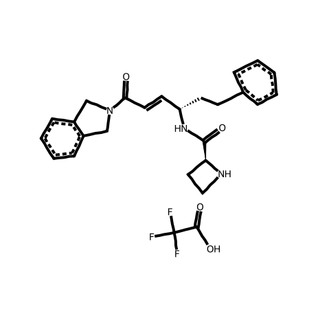 O=C(N[C@H](/C=C/C(=O)N1Cc2ccccc2C1)CCc1ccccc1)[C@@H]1CCN1.O=C(O)C(F)(F)F